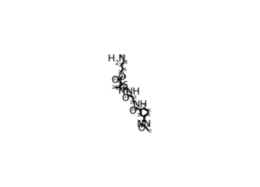 Cc1nc(-c2cccc(C(=O)NCCC(=O)Nc3nc(C)c(C(=O)OCCCCN)s3)c2)no1